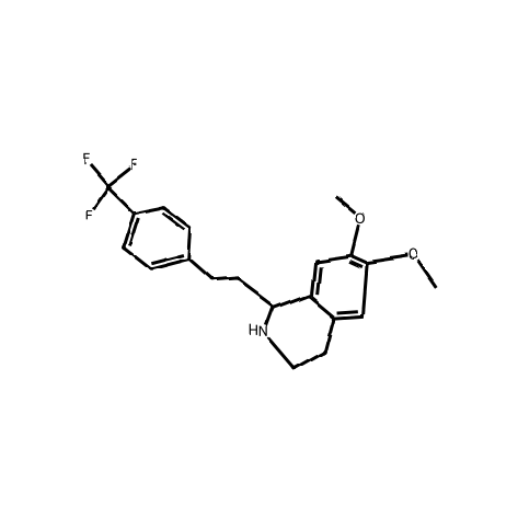 COc1cc2c(cc1OC)C(CCc1ccc(C(F)(F)F)cc1)NCC2